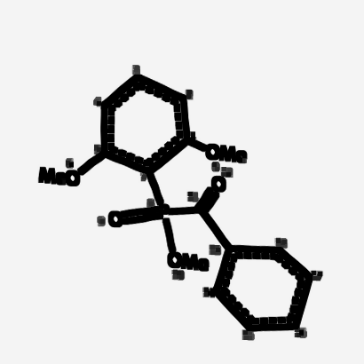 COc1cccc(OC)c1P(=O)(OC)C(=O)c1ccccc1